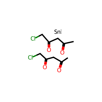 CC(=O)CC(=O)CCl.CC(=O)CC(=O)CCl.[Sn]